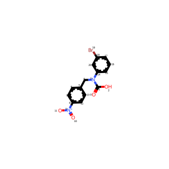 O=C(O)N(Cc1ccc([N+](=O)[O-])cc1)c1cccc(Br)c1